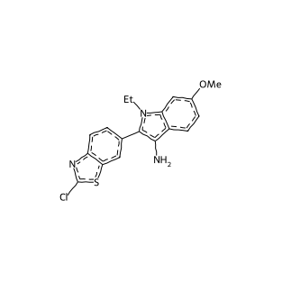 CCn1c(-c2ccc3nc(Cl)sc3c2)c(N)c2ccc(OC)cc21